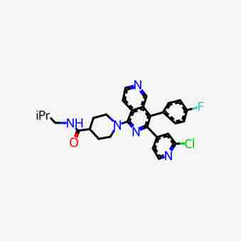 CC(C)CNC(=O)C1CCN(c2nc(-c3ccnc(Cl)c3)c(-c3ccc(F)cc3)c3cnccc23)CC1